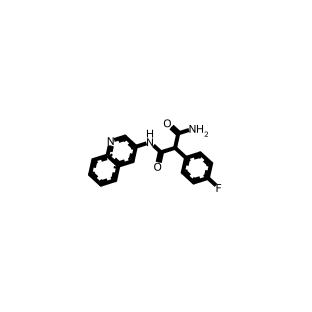 NC(=O)C(C(=O)Nc1cnc2ccccc2c1)c1ccc(F)cc1